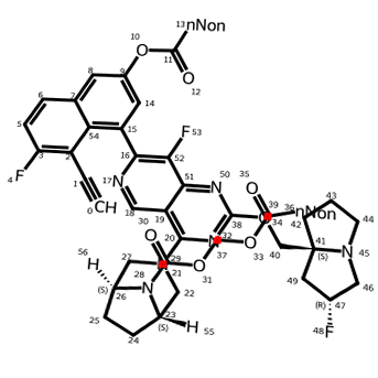 C#Cc1c(F)ccc2cc(OC(=O)CCCCCCCCC)cc(-c3ncc4c(N5C[C@@H]6CC[C@@H](C5)N6C(=O)OCOC(=O)CCCCCCCCC)nc(OC[C@@]56CCCN5C[C@H](F)C6)nc4c3F)c12